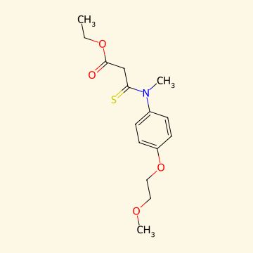 CCOC(=O)CC(=S)N(C)c1ccc(OCCOC)cc1